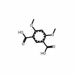 COc1cc(OC)c(C(=O)O)cc1C(=O)O